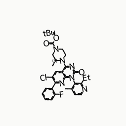 CCc1nccc(C)c1-n1c(=O)nc(N2CCN(C(=O)OC(C)(C)C)C[C@@H]2C)c2cc(Cl)c(-c3ccccc3F)nc21